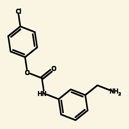 NCc1cccc(NC(=O)Oc2ccc(Cl)cc2)c1